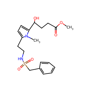 COC(=O)CCC(O)c1ccc(CCNS(=O)(=O)Cc2ccccc2)n1C